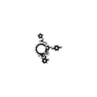 CCOP(=O)(Cc1c(F)cccc1F)[C@@]12C[C@@H]1CCCCCCC[C@H](NC(=O)OC1CCCC1)C(=O)N1C[C@@H](OSc3ccc(Br)cc3)C[C@H]1C(=O)N2